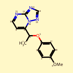 COc1ccc(OC(C)c2ccnc3ncnn23)cc1